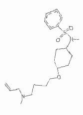 C=CCN(C)CCCCOC1CCC(N(C)S(=O)(=O)c2ccccc2)CC1